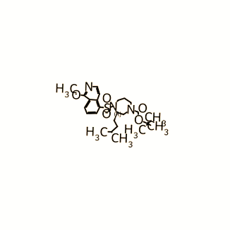 COc1nccc2c(S(=O)(=O)N3CCCN(C(=O)OC(C)(C)C)C[C@H]3CCC(C)C)cccc12